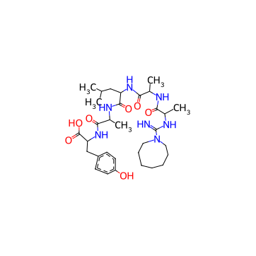 CC(C)CC(NC(=O)C(C)NC(=O)C(C)NC(=N)N1CCCCCCC1)C(=O)NC(C)C(=O)NC(Cc1ccc(O)cc1)C(=O)O